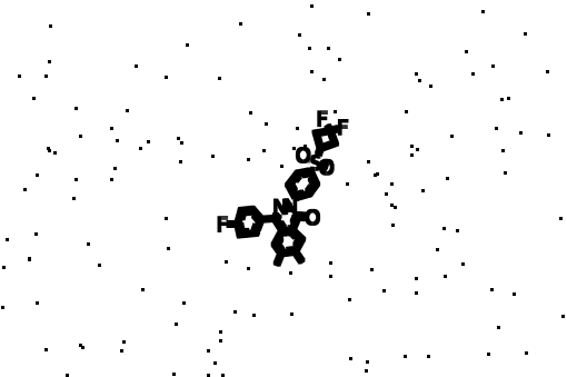 Cc1cc2c(-c3ccc(F)cc3)nn(-c3ccc(S(=O)(=O)C4CC(F)(F)C4)cc3)c(=O)c2cc1C